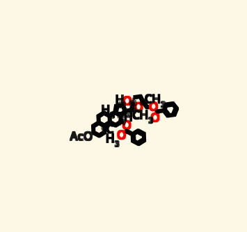 CC(=O)OC1CC[C@@]2(C)C(CCC3C4=C[C@@H]5O[C@]6(CC[C@@](C)(COC(=O)c7ccccc7)O6)[C@@H](C)[C@@H]5[C@@]4(C)[C@H](OC(=O)c4ccccc4)CC32)C1